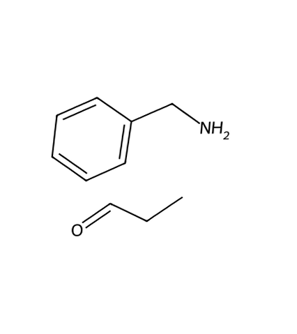 CCC=O.NCc1ccccc1